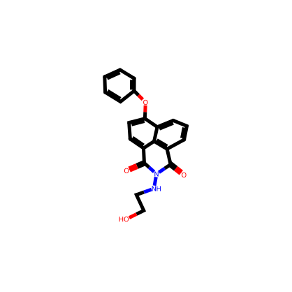 O=C1c2cccc3c(Oc4ccccc4)ccc(c23)C(=O)N1NCCO